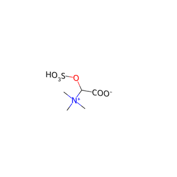 C[N+](C)(C)C(OS(=O)(=O)O)C(=O)[O-]